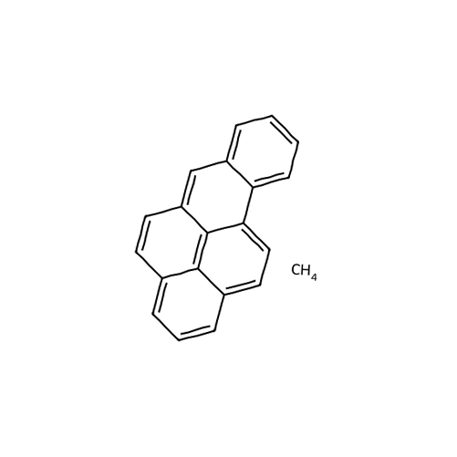 C.c1ccc2c(c1)cc1ccc3cccc4ccc2c1c34